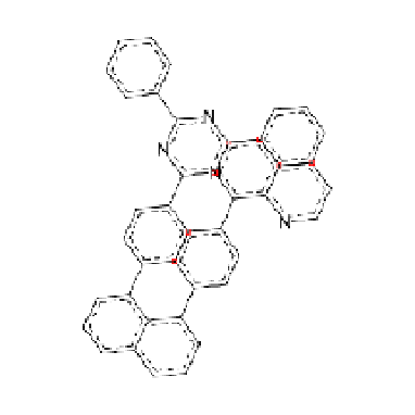 c1ccc(-c2nc(-c3ccccc3)nc(-c3ccc(-c4cccc5cccc(-c6ccc(-c7cccc8cccnc78)cc6)c45)cc3)n2)cc1